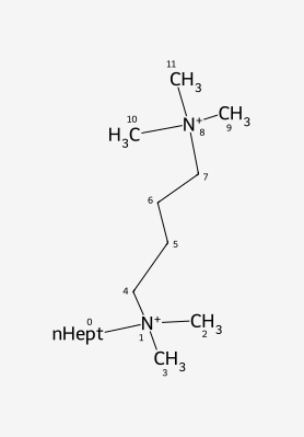 CCCCCCC[N+](C)(C)CCCC[N+](C)(C)C